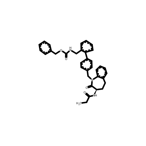 CCC(=O)N[C@@H]1CCc2ccccc2N(Cc2ccc(-c3ccccc3CNC(=O)OCc3ccccc3)cc2)C1=O